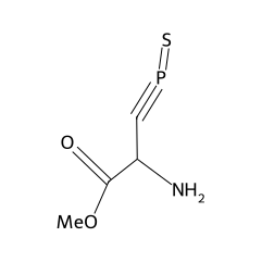 COC(=O)C(N)C#P=S